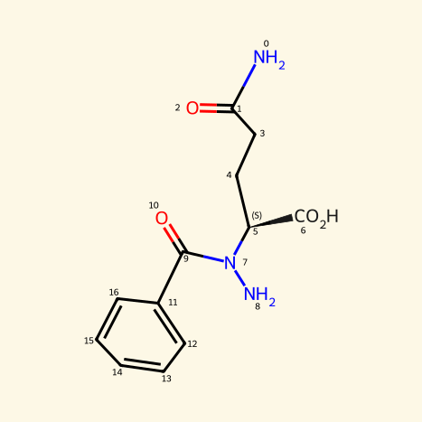 NC(=O)CC[C@@H](C(=O)O)N(N)C(=O)c1ccccc1